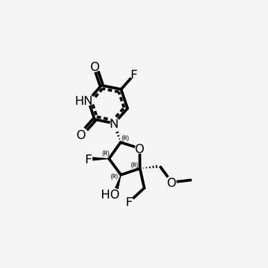 COC[C@@]1(CF)O[C@@H](n2cc(F)c(=O)[nH]c2=O)[C@H](F)[C@@H]1O